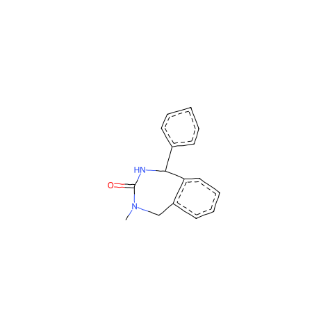 CN1Cc2ccccc2C(c2ccccc2)NC1=O